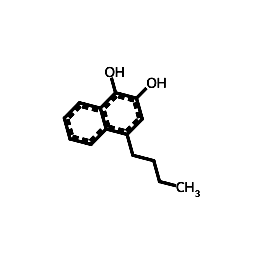 CCCCc1cc(O)c(O)c2ccccc12